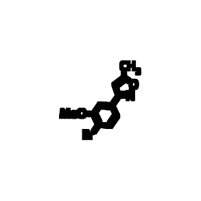 COc1cc(-c2cc(C)on2)ccc1Br